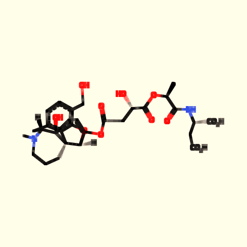 C[C@H](OC(=O)[C@@H](O)CC(=O)OC1=CC[C@@]2(O)[C@H]3Cc4ccc(CO)c5c4[C@@]2(CCCN3C)[C@H]1O5)C(=O)N[C@@H](CC(=O)O)C(=O)O